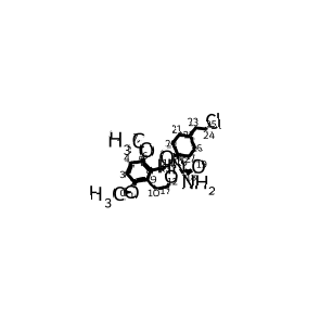 COc1ccc(OC)c2c1CCOC2OC1(NC(N)=O)CCC(CCCl)CC1